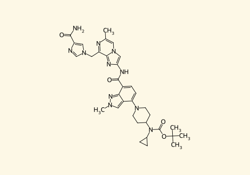 Cc1cn2cc(NC(=O)c3ccc(N4CCC(N(C(=O)OC(C)(C)C)C5CC5)CC4)c4cn(C)nc34)nc2c(Cn2cnc(C(N)=O)c2)n1